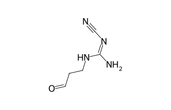 N#CN=C(N)NCCC=O